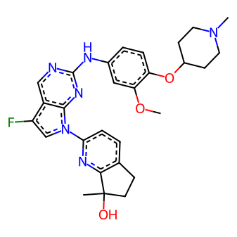 COc1cc(Nc2ncc3c(F)cn(-c4ccc5c(n4)C(C)(O)CC5)c3n2)ccc1OC1CCN(C)CC1